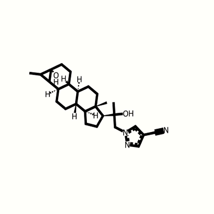 CC1C2[C@@H]3CC[C@@H]4[C@H](CC[C@]5(C)[C@@H](C(C)(O)Cn6cc(C#N)cn6)CC[C@@H]45)[C@H]3CC[C@]12O